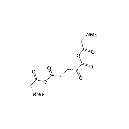 CNCC(=O)OC(=O)CCC(=O)C(=O)OC(=O)CNC